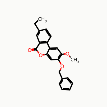 CCc1ccc2c(c1)c(=O)oc1cc(OCc3ccccc3)c(OC)cc12